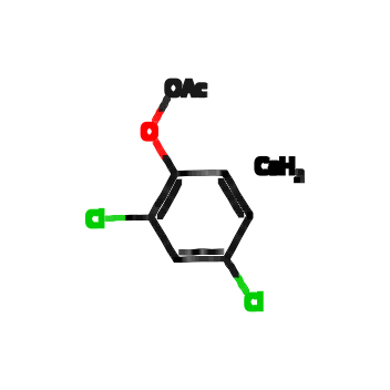 CC(=O)OOc1ccc(Cl)cc1Cl.[CaH2]